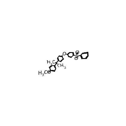 COc1ccc(C(C)(C)c2ccc(Oc3ccc(S(=O)(=O)c4ccccc4)cc3)cc2)cc1